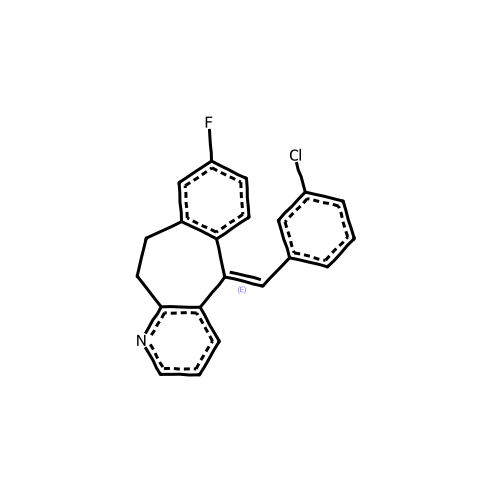 Fc1ccc2c(c1)CCc1ncccc1/C2=C/c1cccc(Cl)c1